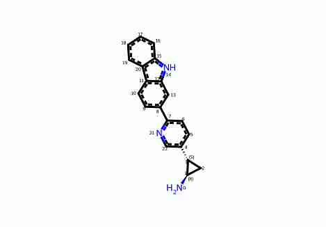 N[C@@H]1C[C@H]1c1ccc(-c2ccc3c(c2)[nH]c2ccccc23)nc1